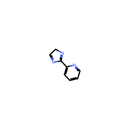 C1=NC(c2ccccn2)=NC1